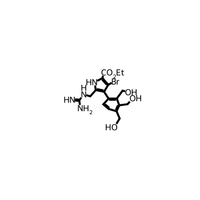 CCOC(=O)c1[nH]c(CNC(=N)N)c(-c2ccc(CO)c(CO)c2CO)c1Br